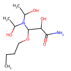 CCCCOC(C(O)C(N)=O)N(C(C)O)C(C)O